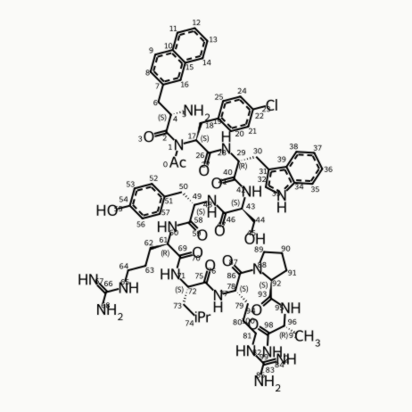 CC(=O)N(C(=O)[C@@H](N)Cc1ccc2ccccc2c1)[C@@H](Cc1ccc(Cl)cc1)C(=O)N[C@H](Cc1c[nH]c2ccccc12)C(=O)N[C@@H](CO)C(=O)N[C@@H](Cc1ccc(O)cc1)C(=O)N[C@H](CCCNC(=N)N)C(=O)N[C@@H](CC(C)C)C(=O)N[C@@H](CCCNC(=N)N)C(=O)N1CCC[C@H]1C(=O)N[C@H](C)C(N)=O